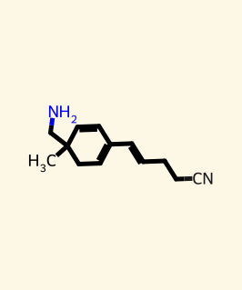 CC1(CN)C=CC(C=CCCC#N)=CC1